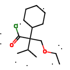 CCOCC(C(=O)Cl)(C(C)C)C1CCCCC1